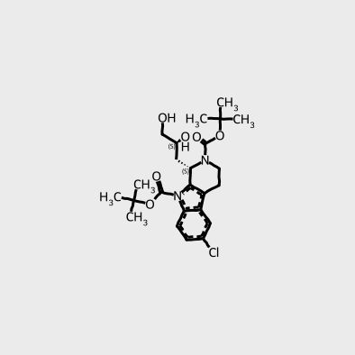 CC(C)(C)OC(=O)N1CCc2c(n(C(=O)OC(C)(C)C)c3ccc(Cl)cc23)[C@@H]1C[C@H](O)CO